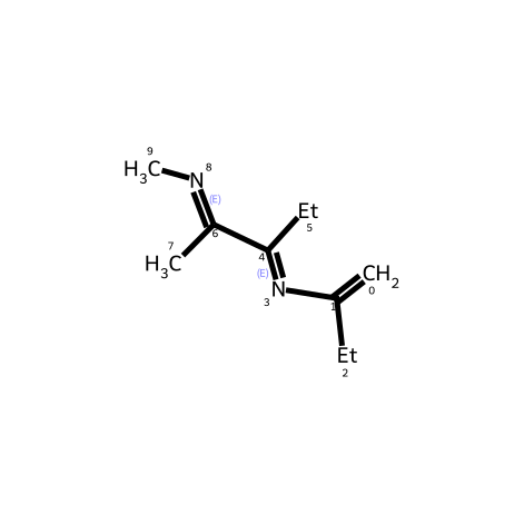 C=C(CC)/N=C(CC)/C(C)=N/C